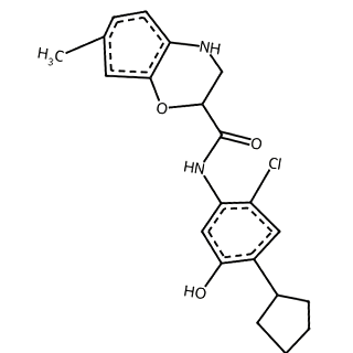 Cc1ccc2c(c1)OC(C(=O)Nc1cc(O)c(C3CCCC3)cc1Cl)CN2